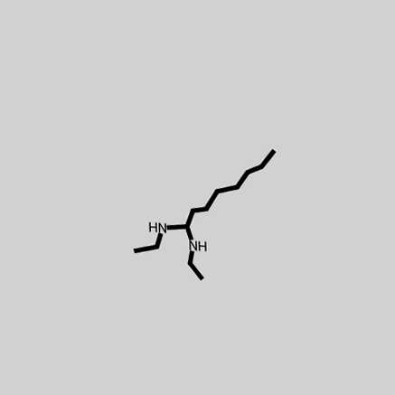 CCCCCCCC(NCC)NCC